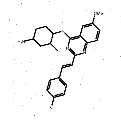 COc1ccc2nc(C=Cc3ccc(Cl)cc3)nc(NC3CCC(N)CC3C)c2c1